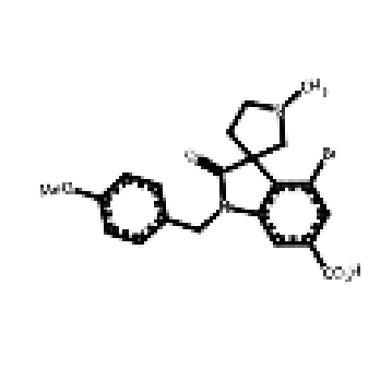 COc1ccc(CN2C(=O)C3(CCN(C)C3)c3c(Br)cc(C(=O)O)cc32)cc1